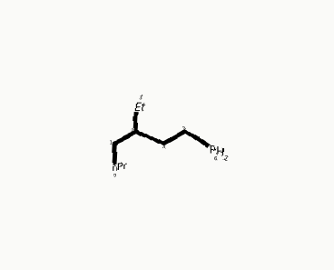 CCCCC(CC)CCP